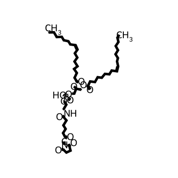 CCCCCCCC/C=C\CCCCCCCC(=O)OCC(COP(=O)(O)OCCNC(=O)CCCCC(=O)CN1C(=O)CCC1=O)OC(=O)CCCCCCC/C=C\CCCCCCCC